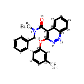 CC(C)CON(Cc1ccccc1)C(=O)c1c(Oc2cccc(C(F)(F)F)c2)nnc2ccccc12